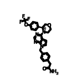 NC(=O)Cc1ccc(Cn2ccc3c(N4CCOC[C@@H]4c4ccc(OC(F)(F)F)cc4)ncnc32)cc1